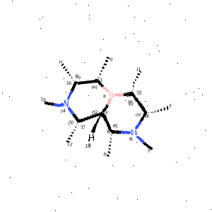 C[C@@H]1B2[C@H]([C@@H](C)N(C)[C@@H](C)[C@H]2C)[C@H](C)N(C)[C@@H]1C